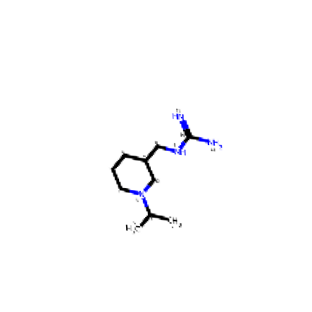 CC(C)N1CCCC(CNC(=N)N)C1